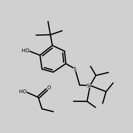 CC(C)[Si](CSc1ccc(O)c(C(C)(C)C)c1)(C(C)C)C(C)C.CCC(=O)O